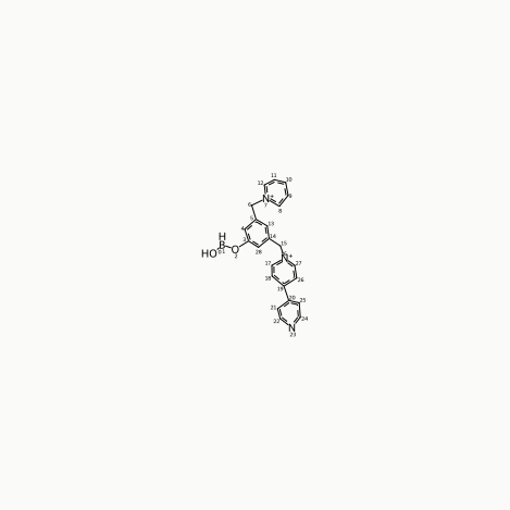 OBOc1cc(C[n+]2ccccc2)cc(C[n+]2ccc(-c3ccncc3)cc2)c1